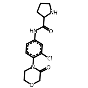 O=C(Nc1ccc(N2CCOCC2=O)c(Cl)c1)C1CCCN1